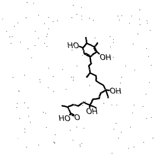 CC1=C(O)C(CCC(C)CCCC(C)(O)CCCC(C)(O)CCCC(C)C(=O)O)=CC(O)C1C